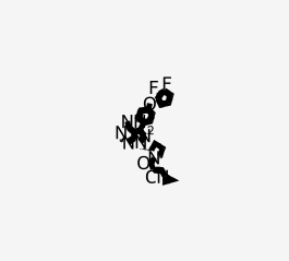 N#C/C(=C\C1CC1)C(=O)N1CCC[C@H]1Cn1nc(-c2ccc(Oc3cccc(F)c3F)cc2)c2c(N)ncnc21